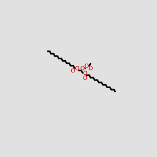 CCCCCCCCCCCCCCC(=O)OCC(COC(=O)CCCCCCCCCCCCCC)OCOC(C)=O